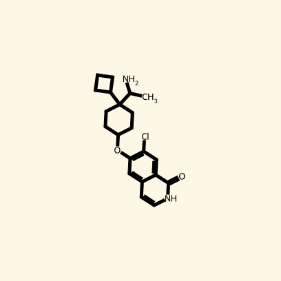 CC(N)C1(C2CCC2)CCC(Oc2cc3cc[nH]c(=O)c3cc2Cl)CC1